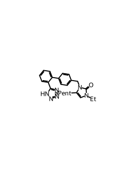 CCCCCc1cn(CC)c(=O)n1Cc1ccc(-c2ccccc2-c2nnn[nH]2)cc1